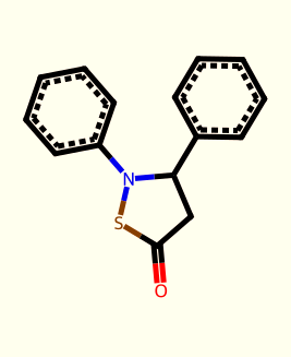 O=C1CC(c2ccccc2)N(c2ccccc2)S1